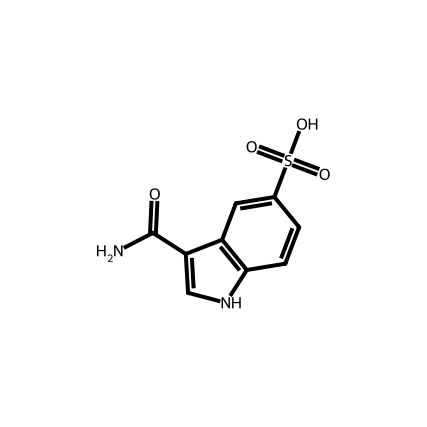 NC(=O)c1c[nH]c2ccc(S(=O)(=O)O)cc12